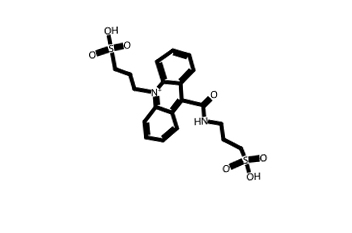 O=C(NCCCS(=O)(=O)O)c1c2ccccc2[n+](CCCS(=O)(=O)O)c2ccccc12